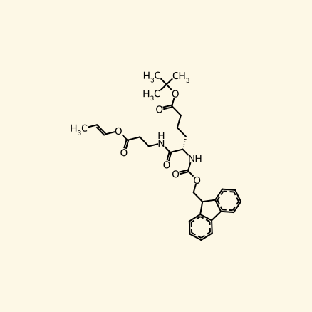 C/C=C/OC(=O)CCNC(=O)[C@H](CCCC(=O)OC(C)(C)C)NC(=O)OCC1c2ccccc2-c2ccccc21